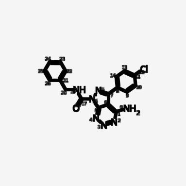 Nc1nnnc2c1c(-c1ccc(Cl)cc1)nn2C(=O)NCc1ccccc1